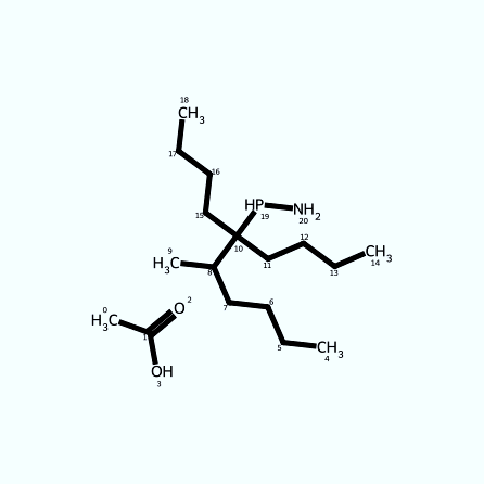 CC(=O)O.CCCCC(C)C(CCCC)(CCCC)PN